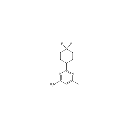 Cc1cc(N)nc(C2CCC(F)(F)CC2)n1